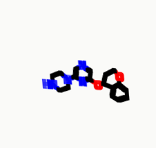 c1ccc2c(c1)OCCC2Oc1cncc(N2CCNCC2)n1